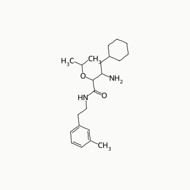 Cc1cccc(CCNC(=O)C(OC(C)C)C(N)CC2CCCCC2)c1